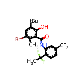 Cc1c(Br)cc(C(C)(C)C)c(O)c1C(=O)Nc1cc(C(F)(F)F)ccc1C(C)(F)F